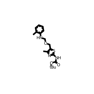 Cc1ccccc1NCOCc1sc(NC(=O)OC(C)(C)C)nc1C